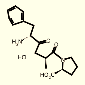 C[C@@H](CC(=O)[C@H](N)Cc1ccccc1)C(=O)N1CCC[C@H]1C(=O)O.Cl